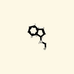 FCOC1C=[C]c2ccccc21